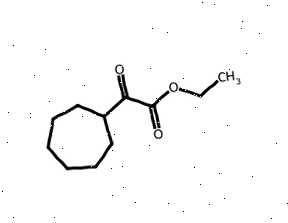 CCOC(=O)C(=O)C1CCCCCC1